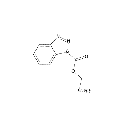 CCCCCCCCOC(=O)n1nnc2ccccc21